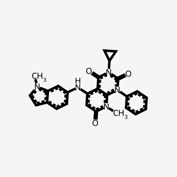 Cn1ccc2ccc(Nc3cc(=O)n(C)c4c3c(=O)n(C3CC3)c(=O)n4-c3ccccc3)cc21